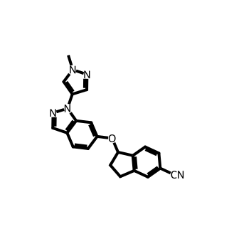 Cn1cc(-n2ncc3ccc(OC4CCc5cc(C#N)ccc54)cc32)cn1